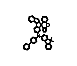 CC1(C)c2ccccc2-c2cc(N(c3ccc(-c4ccccc4)cc3)c3ccc4c(c3)C3(c5ccccc5Oc5ccccc53)c3ccc5ccccc5c3-4)ccc21